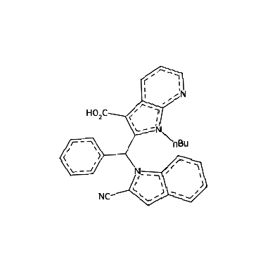 CCCCn1c(C(c2ccccc2)n2c(C#N)cc3ccccc32)c(C(=O)O)c2cccnc21